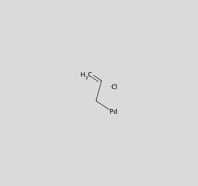 C=C[CH2][Pd].[Cl]